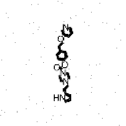 O=C(Oc1ccc(CCOc2cccnc2)cc1)N1CCN(CCc2ccc[nH]2)CC1